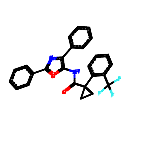 O=C(Nc1oc(-c2ccccc2)nc1-c1ccccc1)C1(c2ccccc2C(F)(F)F)CC1